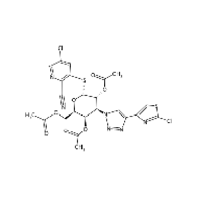 CC(=O)OC[C@H]1O[C@H](Sc2cc(Cl)cnc2C#N)[C@H](OC(C)=O)[C@@H](n2cc(-c3csc(Cl)n3)nn2)[C@H]1OC(C)=O